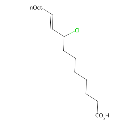 CCCCCCCCC=CC(Cl)CCCCCCC(=O)O